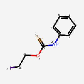 S=C(Nc1ccccc1)OCCI